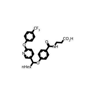 CCCCCCC(Oc1ccc(C(=O)NCCC(=O)O)cc1)c1ccc(Oc2ccc(C(F)(F)F)cc2)nc1